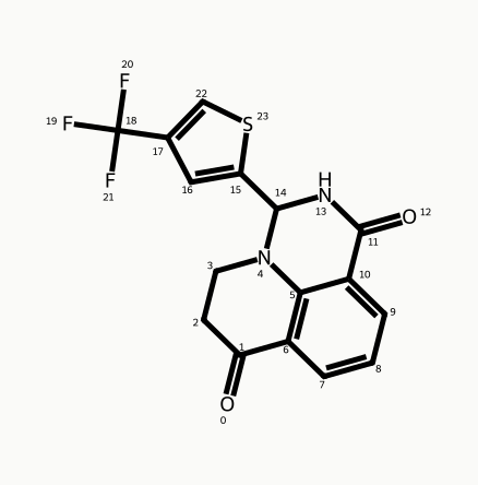 O=C1CCN2c3c1cccc3C(=O)NC2c1cc(C(F)(F)F)cs1